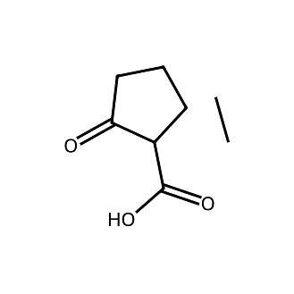 CC.O=C(O)C1CCCC1=O